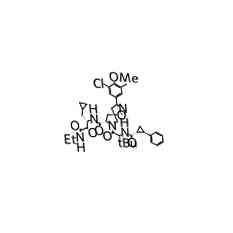 CCNC(=O)C(=O)[C@H](CC1CC1)NC(=O)[C@@H]1C[C@]2(CC(c3cc(C)c(OC)c(Cl)c3)=NO2)CN1C(=O)[C@@H](NC(=O)[C@@H]1C[C@H]1c1ccccc1)C(C)(C)C